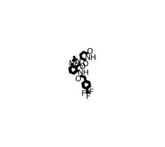 C=C(C)N(C(=O)c1c(N)cccc1NC(=O)Cc1ccc(C(F)(F)F)cc1)C1CCC(=O)NC1=O